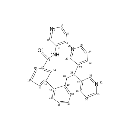 O=C(Nc1cccnc1)c1cccc(-c2ccccc2CC(c2cccnc2)c2cccnc2)c1